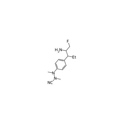 CCC(c1ccc(N(C)N(C)C#N)cc1)C(N)CF